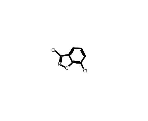 Clc1noc2c(Cl)cccc12